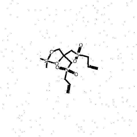 C=CCS(=O)(=O)CC1(CS(=O)(=O)CC=C)CO[Si](C)(C)O1